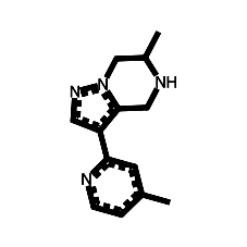 Cc1ccnc(-c2cnn3c2CNC(C)C3)c1